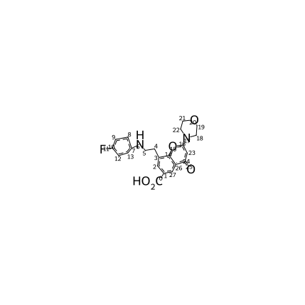 O=C(O)c1cc(CCNc2ccc(F)cc2)c2oc(N3CCOCC3)cc(=O)c2c1